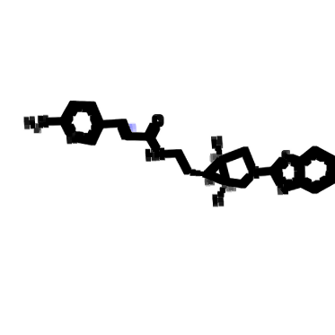 Nc1ccc(/C=C/C(=O)NCC[C@@H]2[C@H]3CN(c4nc5ccccc5s4)C[C@@H]23)cn1